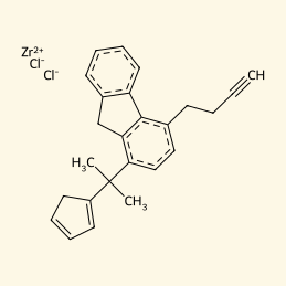 C#CCCc1ccc(C(C)(C)C2=CC=CC2)c2c1-c1ccccc1C2.[Cl-].[Cl-].[Zr+2]